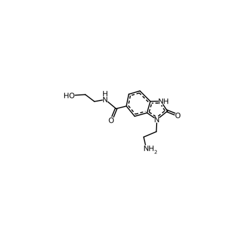 NCCn1c(=O)[nH]c2ccc(C(=O)NCCO)cc21